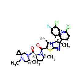 CC(C)C1=C(C(=O)N2[C@H](C)CC[C@@H]2C(=O)N2CC3(CC3)N(C)C[C@H]2C)SC2=N[C@@](C)(c3ccc(Cl)nc3)[C@@H](c3ccc(Cl)c(F)c3)N21